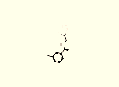 CCOC(CNC(=N)c1cccc(Cl)c1)OCC